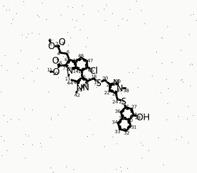 COC(=O)CCc1c(C(=O)OC)n(C)c2c(-c3c(CSCc4cc(CSc5cc(O)c6ccccc6c5)n(C)n4)nn(C)c3C)c(Cl)ccc12